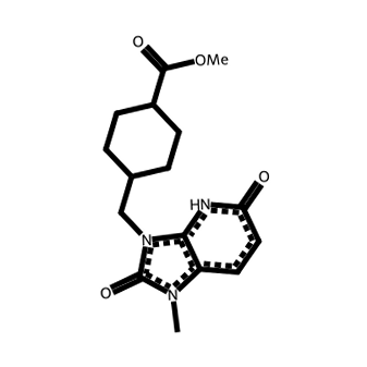 COC(=O)C1CCC(Cn2c(=O)n(C)c3ccc(=O)[nH]c32)CC1